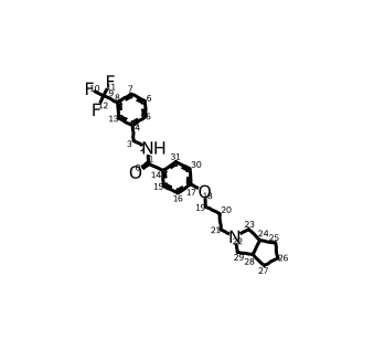 O=C(NCc1cccc(C(F)(F)F)c1)c1ccc(OCCCN2CC3CCCC3C2)cc1